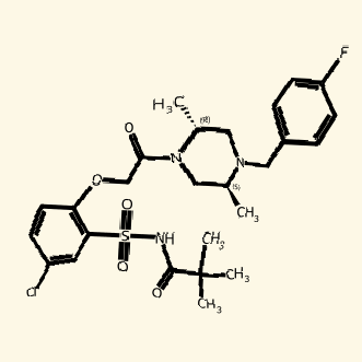 C[C@@H]1CN(Cc2ccc(F)cc2)[C@@H](C)CN1C(=O)COc1ccc(Cl)cc1S(=O)(=O)NC(=O)C(C)(C)C